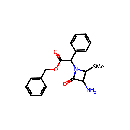 CSC1C(N)C(=O)N1C(C(=O)OCc1ccccc1)c1ccccc1